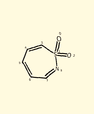 O=S1(=O)C=CC=CC=N1